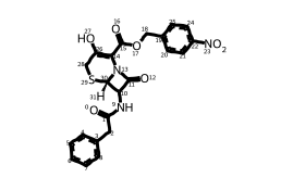 O=C(Cc1ccccc1)NC1C(=O)N2C(C(=O)OCc3ccc([N+](=O)[O-])cc3)=C(O)CS[C@@H]12